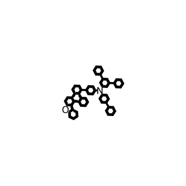 c1ccc(-c2ccc(N(c3ccc(-c4cccc5c6ccc7oc8ccccc8c7c6c6ccccc6c45)cc3)c3cc(-c4ccccc4)cc(-c4ccccc4)c3)cc2)cc1